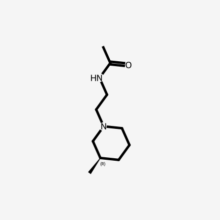 CC(=O)NCCN1CCC[C@@H](C)C1